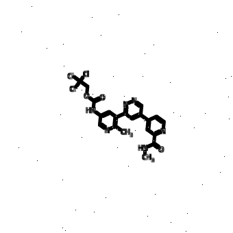 CNC(=O)c1cc(-c2cnnc(-c3cc(NC(=O)OCC(Cl)(Cl)Cl)cnc3C)c2)ccn1